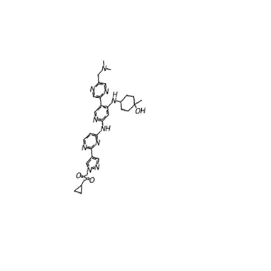 CN(C)Cc1cnc(-c2cnc(Nc3ccnc(-c4cnn(S(=O)(=O)C5CC5)c4)n3)cc2NC2CCC(C)(O)CC2)cn1